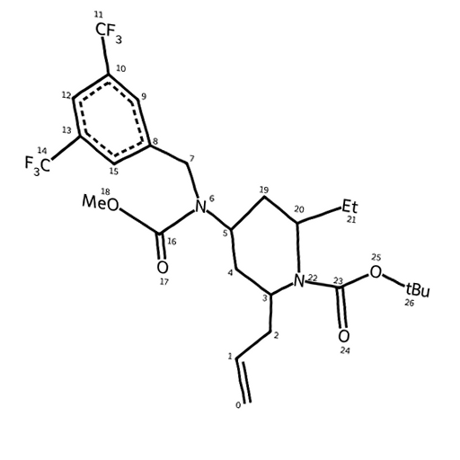 C=CCC1CC(N(Cc2cc(C(F)(F)F)cc(C(F)(F)F)c2)C(=O)OC)CC(CC)N1C(=O)OC(C)(C)C